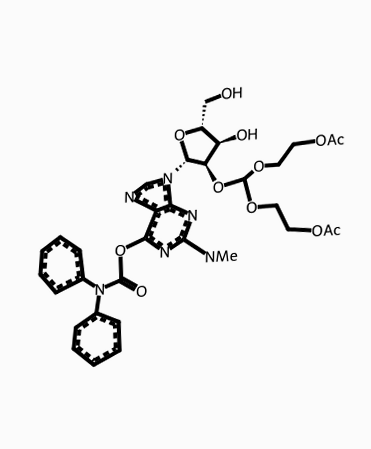 CNc1nc(OC(=O)N(c2ccccc2)c2ccccc2)c2ncn([C@@H]3O[C@H](CO)[C@@H](O)[C@H]3OC(OCCOC(C)=O)OCCOC(C)=O)c2n1